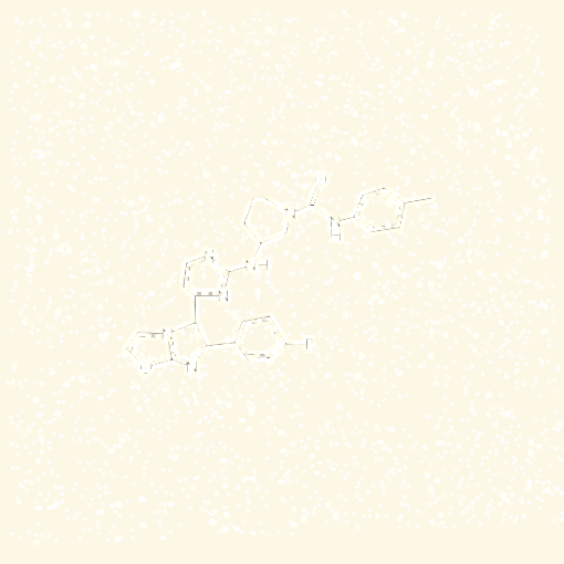 Cc1ccc(NC(=O)N2CCCC(Nc3nccc(-c4c(-c5ccc(F)cc5)nc5occn45)n3)C2)cc1